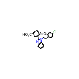 COc1cc(Cl)ccc1CCn1c(C2=CC(C(=O)O)=CC=CC2)nc2ccccc21